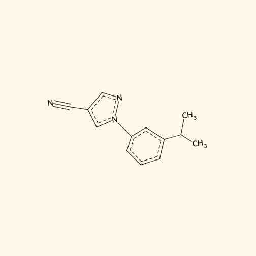 CC(C)c1cccc(-n2cc(C#N)cn2)c1